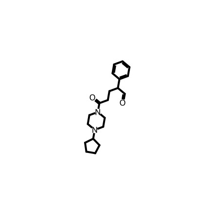 O=CC(CCC(=O)N1CCN(C2CCCC2)CC1)c1ccccc1